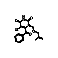 C=C(C)COCn1c(C(=O)c2ccccc2)c(CC)c(=O)[nH]c1=O